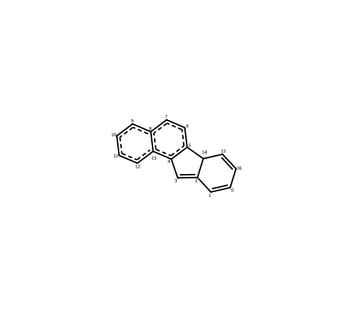 C1=CC2=Cc3c(ccc4ccccc34)C2C=C1